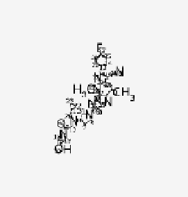 CCc1nc2sc(N3CC[C@@H](N(CC(=O)N4CC(O)C4)CC4CC4)C3)nn2c1N(C)c1nc(-c2ccc(F)cc2)c(C#N)s1